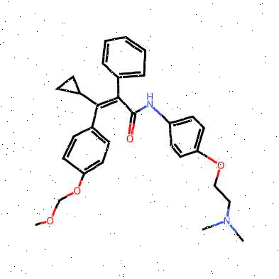 COCOc1ccc(/C(=C(\C(=O)Nc2ccc(OCCN(C)C)cc2)c2ccccc2)C2CC2)cc1